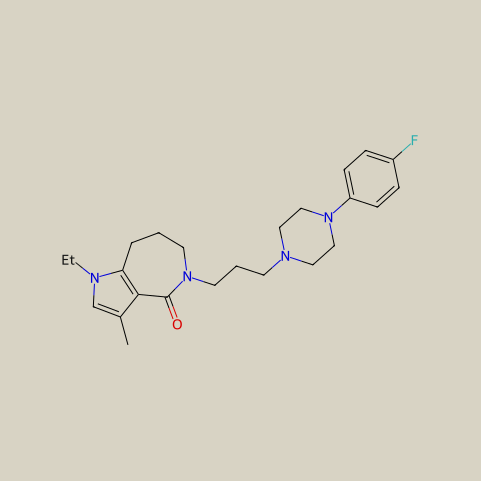 CCn1cc(C)c2c1CCCN(CCCN1CCN(c3ccc(F)cc3)CC1)C2=O